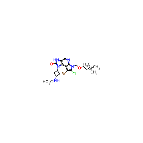 C[Si](C)(C)CCOCn1c(Cl)c(Br)c2c1ncc1[nH]c(=O)n(C3CC(NC(=O)O)C3)c12